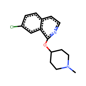 CN1CCC(Oc2nccc3ccc(Cl)cc23)CC1